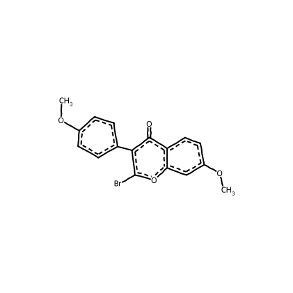 COc1ccc(-c2c(Br)oc3cc(OC)ccc3c2=O)cc1